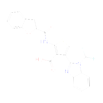 O=C(O)c1c(C2=NC3C=CC=CC3N2C(F)F)csc1NC(=O)C1Cc2ccccc2O1